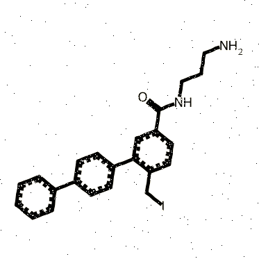 NCCCNC(=O)c1ccc(CI)c(-c2ccc(-c3ccccc3)cc2)c1